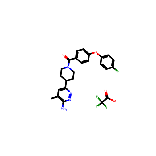 Cc1cc(C2CCN(C(=O)c3ccc(Oc4ccc(F)cc4)cc3)CC2)nnc1N.O=C(O)C(F)(F)F